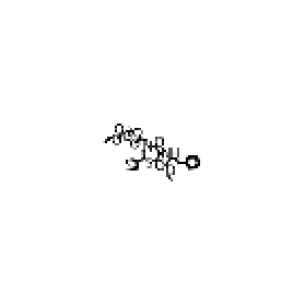 CCOC(=O)OC(C)OC(=O)CN1CC(c2ccsc2)SCC(NC(CCc2ccccc2)C(=O)OCC)C1=O